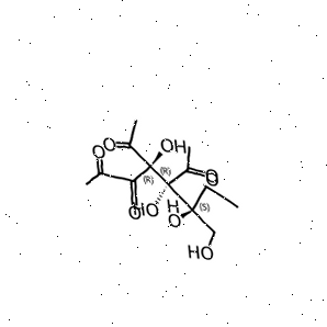 CC(=O)C(=O)[C@](O)(C(C)=O)[C@@](O)(C(C)=O)[C@@](O)(CO)C(C)=O